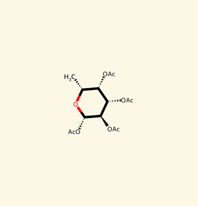 CC(=O)O[C@@H]1O[C@H](C)[C@H](OC(C)=O)[C@H](OC(C)=O)[C@H]1OC(C)=O